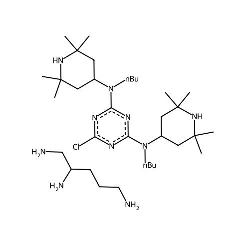 CCCCN(c1nc(Cl)nc(N(CCCC)C2CC(C)(C)NC(C)(C)C2)n1)C1CC(C)(C)NC(C)(C)C1.NCCCC(N)CN